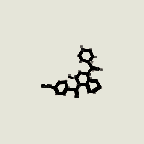 COc1ccc(C(=O)N2c3ccccc3[C@H](C(=O)N3CCOCC3)C[C@H]2C)cc1